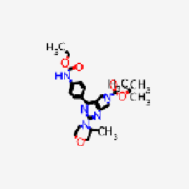 CCOC(=O)Nc1ccc(-c2nc(N3CCOCC3C)nc3c2CN(C(=O)OC(C)(C)C)C3)cc1